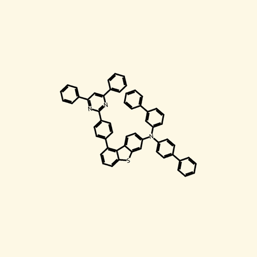 c1ccc(-c2ccc(N(c3cccc(-c4ccccc4)c3)c3ccc4c(c3)sc3cccc(-c5ccc(-c6nc(-c7ccccc7)cc(-c7ccccc7)n6)cc5)c34)cc2)cc1